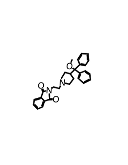 COC(c1ccccc1)(c1ccccc1)C1CCN(CCN2C(=O)c3ccccc3C2=O)CC1